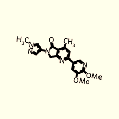 COc1cc(-c2cc(C)c3c(n2)CN(c2cnn(C)c2)C3=O)cnc1OC